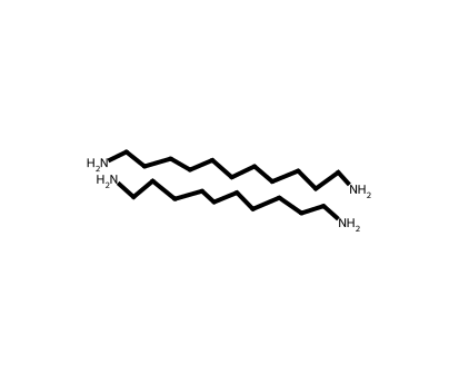 NCCCCCCCCCCCN.NCCCCCCCCCCN